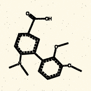 COc1cccc(-c2cc(C(=O)O)ccc2N(C)C)c1OC